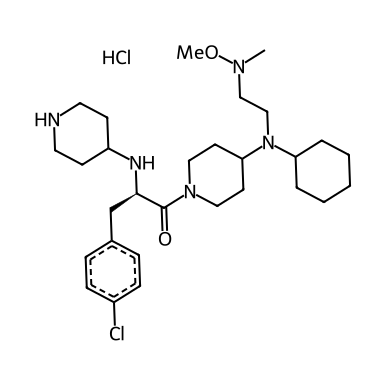 CON(C)CCN(C1CCCCC1)C1CCN(C(=O)[C@@H](Cc2ccc(Cl)cc2)NC2CCNCC2)CC1.Cl